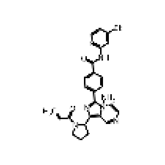 C=CC(=O)N1CCCC1C1=C2C=NC=C[N+]2(N)C(c2ccc(C(=O)Nc3cc(CC)ccn3)cc2)=N1